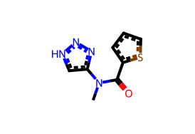 CN(C(=O)c1cccs1)c1c[nH]nn1